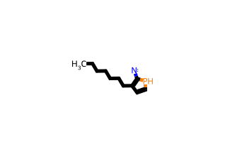 CCCCCCCc1cc[pH]c1[N]